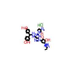 CCc1nnn([C@H]2C[C@@H](n3cnc4c(NCC(c5ccc(O)cc5)c5ccc(O)cc5)nc(N5CC[C@@H](N(C)C)C5)nc43)[C@H](O)[C@@H]2O)n1.Cl